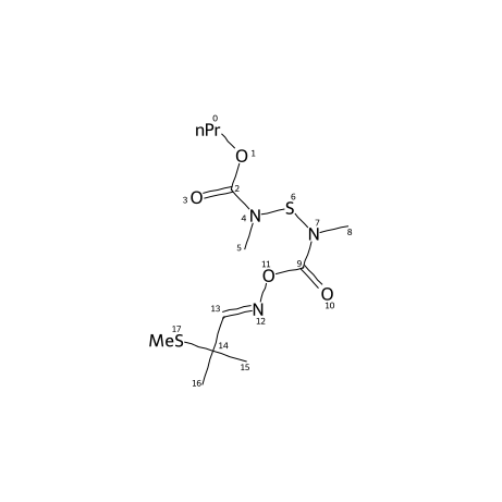 CCCOC(=O)N(C)SN(C)C(=O)ON=CC(C)(C)SC